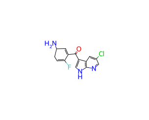 NC1C=C(C(=O)c2c[nH]c3ncc(Cl)cc23)C(F)=CC1